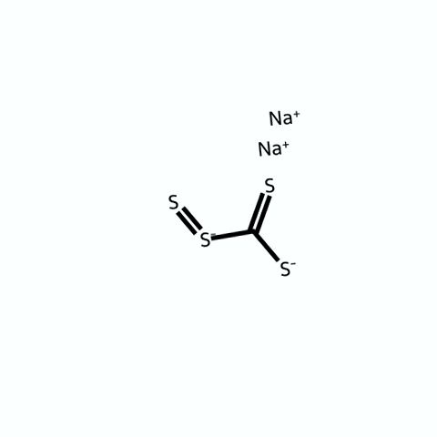 S=[S-]C(=S)[S-].[Na+].[Na+]